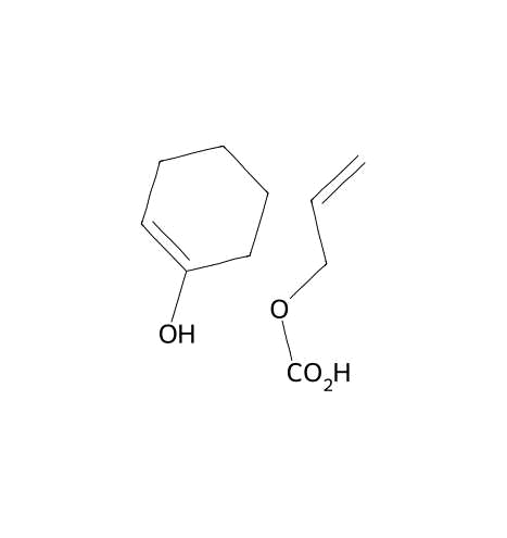 C=CCOC(=O)O.OC1=CCCCC1